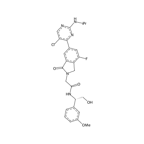 COc1cccc([C@@H](CO)NC(=O)CN2Cc3c(F)cc(-c4nc(NC(C)C)ncc4Cl)cc3C2=O)c1